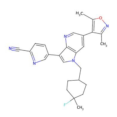 Cc1noc(C)c1-c1cnc2c(-c3ccc(C#N)nc3)cn(CC3CCC(C)(F)CC3)c2c1